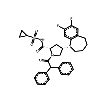 O=C(NS(=O)(=O)C1CC1)[C@@H]1C[C@H](N2CCCCc3cc(F)c(F)cc32)CN1C(=O)C(c1ccccc1)c1ccccc1